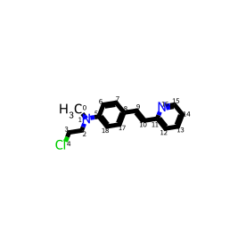 CN(CCCl)c1ccc(/C=C/c2ccccn2)cc1